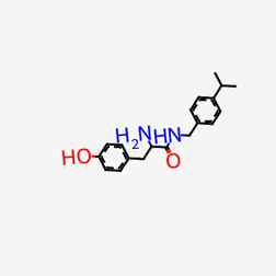 CC(C)c1ccc(CNC(=O)C(N)Cc2ccc(O)cc2)cc1